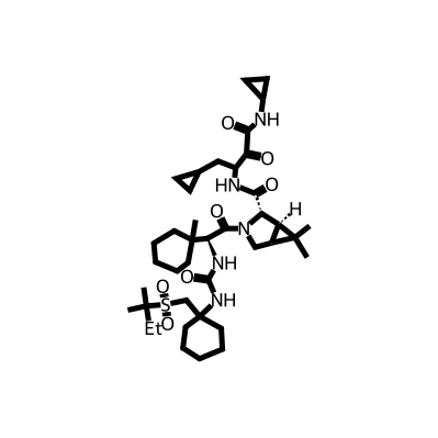 CCC(C)(C)S(=O)(=O)CC1(NC(=O)N[C@H](C(=O)N2CC3[C@@H]([C@H]2C(=O)NC(CC2CC2)C(=O)C(=O)NC2CC2)C3(C)C)C2(C)CCCCC2)CCCCC1